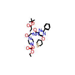 CCOC(=O)ON1CCN(C(=O)[C@H](CCC(=O)OC(C)(C)C)NC(=O)c2cc(OC3CCSCC3)nc(-c3ccccc3)n2)CC1